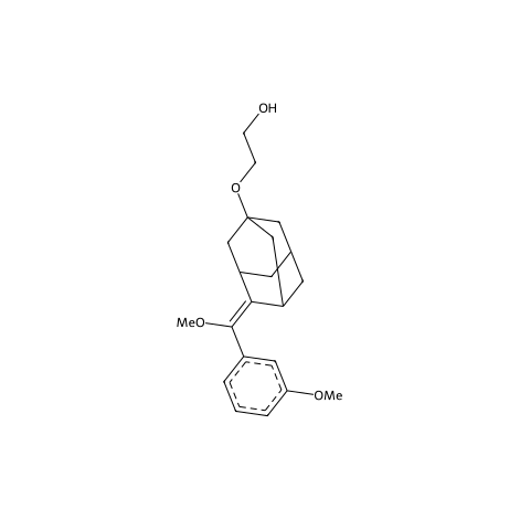 COC(=C1C2CC3CC1CC(OCCO)(C3)C2)c1cccc(OC)c1